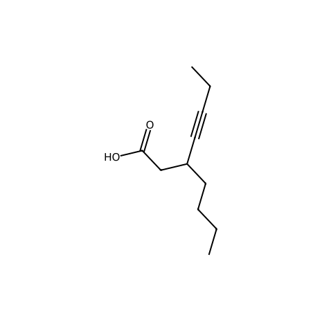 CCC#CC(CCCC)CC(=O)O